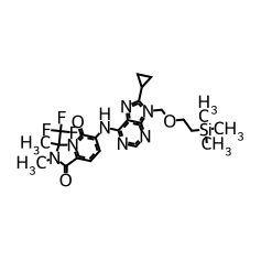 CN1C(=O)c2ccc(Nc3ncnc4c3nc(C3CC3)n4COCC[Si](C)(C)C)c(=O)n2C1(C)C(F)(F)F